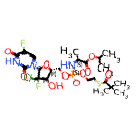 CC(C)OC(=O)[C@H](C)N[P@@](=O)(OCCSC(=O)C(C)(C)C)OC[C@H]1O[C@@H](n2cc(F)c(=O)[nH]c2=O)[C@](F)(Cl)[C@@H]1O